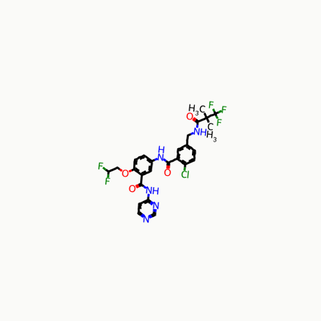 CC(C)(C(=O)NCc1ccc(Cl)c(C(=O)Nc2ccc(OCC(F)F)c(C(=O)Nc3ccncn3)c2)c1)C(F)(F)F